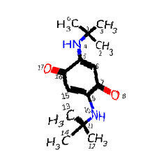 CC(C)(C)NC1=CC(=O)C(NC(C)(C)C)=CC1=O